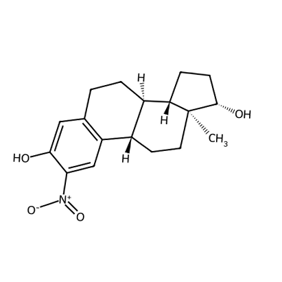 C[C@]12CC[C@@H]3c4cc([N+](=O)[O-])c(O)cc4CC[C@H]3[C@@H]1CC[C@@H]2O